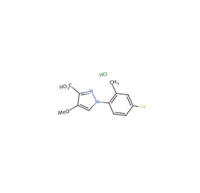 COc1cn(-c2ccc(F)cc2C)nc1C(=O)O.Cl